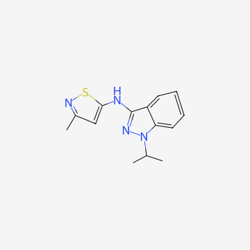 Cc1cc(Nc2nn(C(C)C)c3ccccc23)sn1